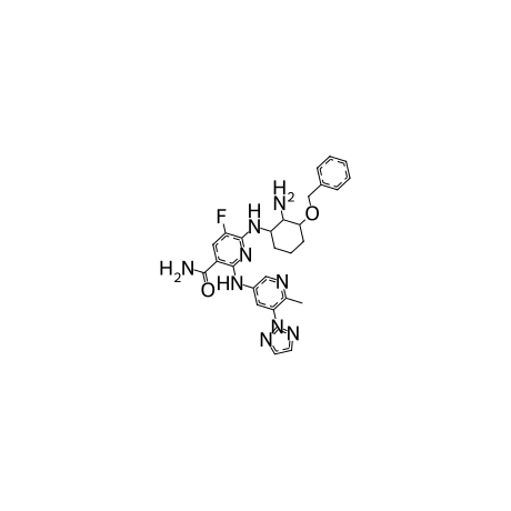 Cc1ncc(Nc2nc(NC3CCCC(OCc4ccccc4)C3N)c(F)cc2C(N)=O)cc1-n1nccn1